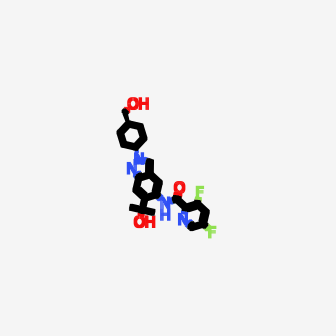 CC(C)(O)c1cc2nn([C@H]3CC[C@H](CO)CC3)cc2cc1NC(=O)c1ncc(F)cc1F